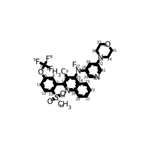 Cc1c(-c2cc(OC(F)(F)F)ccc2S(C)(=O)=O)nc2ccccc2c1N(F)c1cncc(N2CCOCC2)c1